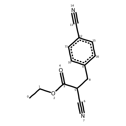 CCOC(=O)C(C#N)Cc1ccc(C#N)cc1